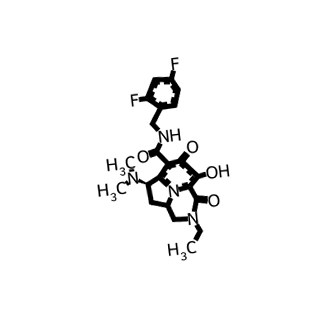 CCN1CC2C[C@@H](N(C)C)c3c(C(=O)NCc4ccc(F)cc4F)c(=O)c(O)c(n32)C1=O